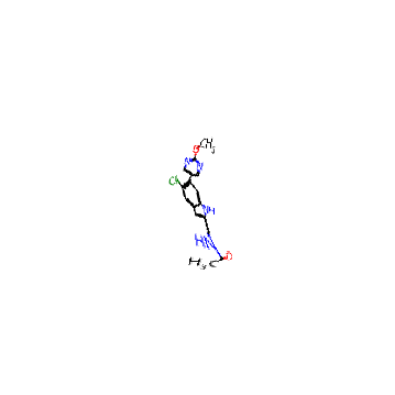 COc1ncc(-c2cc3[nH]c(CNC(C)=O)cc3cc2Cl)cn1